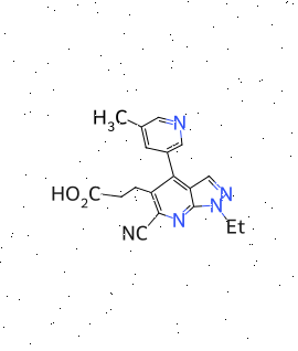 CCn1ncc2c(-c3cncc(C)c3)c(CCC(=O)O)c(C#N)nc21